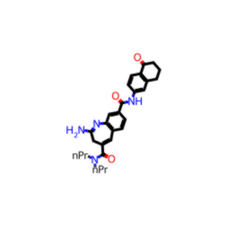 CCCN(CCC)C(=O)C1=Cc2ccc(C(=O)Nc3ccc4c(c3)CCCC4=O)cc2N=C(N)C1